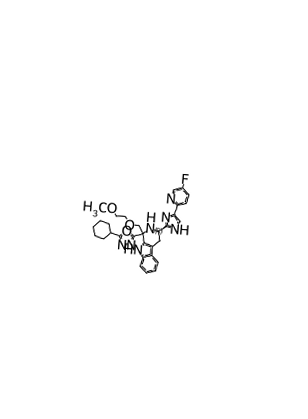 COCCOCC1(c2nnc(C3CCCCC3)o2)N[C@@H](c2nc(-c3ccc(F)cn3)c[nH]2)Cc2c1[nH]c1ccccc21